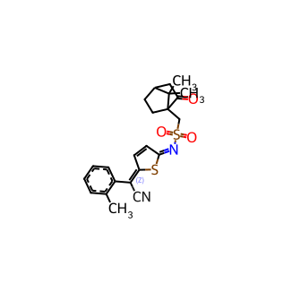 Cc1ccccc1/C(C#N)=C1\C=CC(=NS(=O)(=O)CC23CCC(CC2=O)C3(C)C)S1